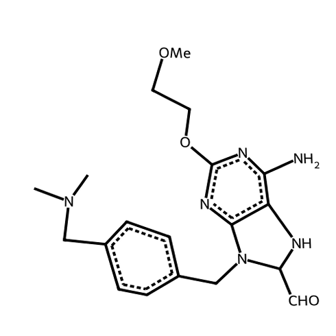 COCCOc1nc(N)c2c(n1)N(Cc1ccc(CN(C)C)cc1)C(C=O)N2